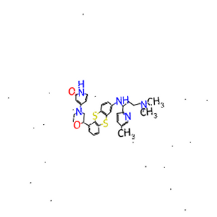 Cc1ccc(C(CCCN(C)C)Nc2ccc3c(c2)Sc2cccc(C4CN(c5cc[nH]c(=O)c5)CCO4)c2S3)nc1